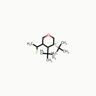 CC(F)C1COC[C@H](C(C)(C)C)C1C(C)(C)C